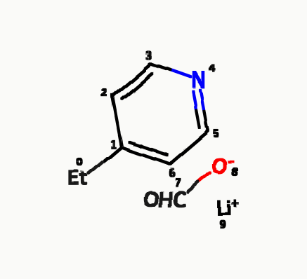 CCc1ccncc1.O=C[O-].[Li+]